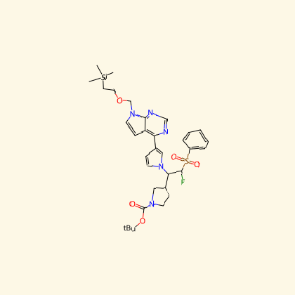 CC(C)(C)OC(=O)N1CCC(C(C(F)S(=O)(=O)c2ccccc2)n2ccc(-c3ncnc4c3ccn4COCC[Si](C)(C)C)c2)C1